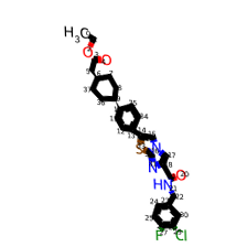 CCOC(=O)C[C@H]1CC[C@H](c2ccc(-c3cn4cc(C(=O)NCc5ccc(F)c(Cl)c5)nc4s3)cc2)CC1